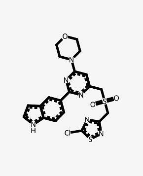 O=S(=O)(Cc1cc(N2CCOCC2)nc(-c2ccc3[nH]ccc3c2)n1)Cc1nsc(Cl)n1